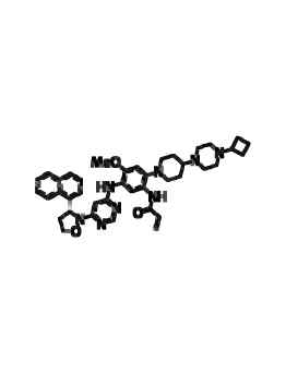 C=CC(=O)Nc1cc(Nc2cc(N3OCC[C@@H]3c3cccc4ccccc34)ncn2)c(OC)cc1N1CCC(N2CCN(C3CCC3)CC2)CC1